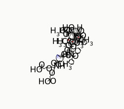 CC(=O)O[C@H]1C(=O)[C@@]2(C)[C@H]([C@H](OC(=O)c3ccccc3)[C@]3(O)C[C@H](OC(=O)[C@H](OC(=O)O[C@H]4/C=C/CC[C@@](C)(C(=O)NC(COCCC(=O)O)COCCC(=O)O)CC4)[C@@H](NC(=O)c4ccccc4)c4ccccc4)C(C)=C1C3(C)C)[C@]1(OC(C)=O)CO[C@@H]1C[C@@H]2O